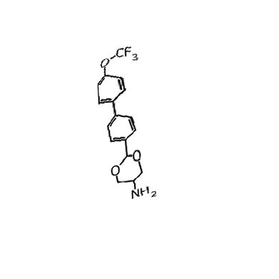 NC1COC(c2ccc(-c3ccc(OC(F)(F)F)cc3)cc2)OC1